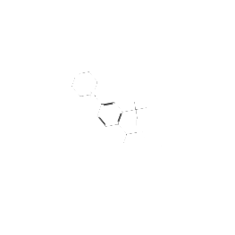 COC(OC)c1ccc(N2CCOCC2)cc1C(F)(F)F